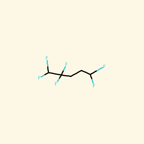 F[C](F)CCC(F)(F)C(F)F